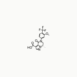 COc1cc(N2C[C@H](C)n3ncc(C(=O)O)c3C2=O)ccc1C(F)(F)F